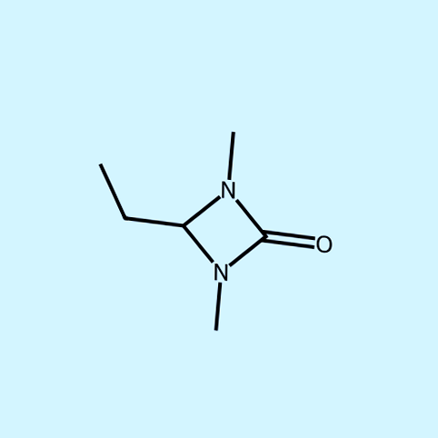 CCC1N(C)C(=O)N1C